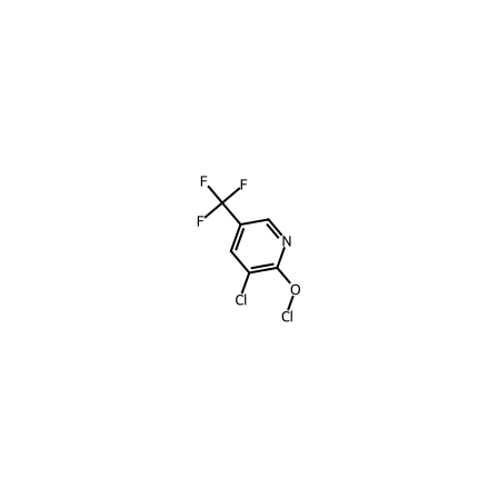 FC(F)(F)c1cnc(OCl)c(Cl)c1